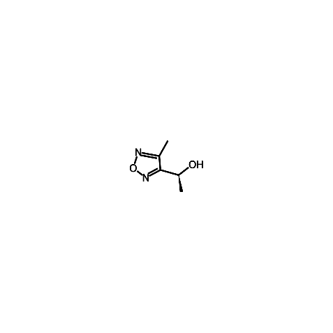 Cc1nonc1[C@H](C)O